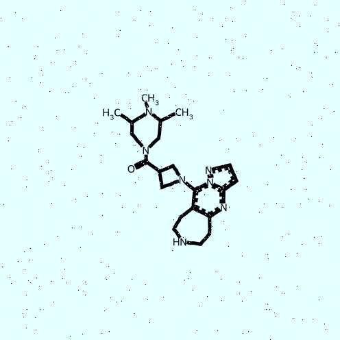 CC1CN(C(=O)C2CN(c3c4c(nc5ccnn35)CCNCC4)C2)CC(C)N1C